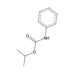 C[C](C)OC(=O)Nc1ccccc1